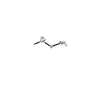 [CH3][GeH2][S]N